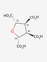 O=C(O)[C@@H]1[C@H](C(=O)O)[C@@H](C(=O)O)O[C@H]1C(=O)O